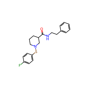 O=C(NCCc1ccccc1)C1CCCN(Sc2ccc(F)cc2)C1